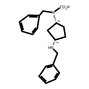 O=C(O)N(Cc1ccccc1)[C@@H]1CC[C@H](NCc2ccccc2)C1